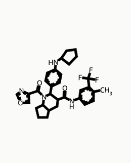 Cc1ccc(NC(=O)C2CC3CCCC3N(C(=O)c3cocn3)C2c2ccc(NC3CCCC3)cc2)cc1C(F)(F)F